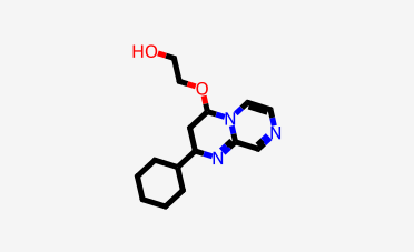 OCCOC1CC(C2CCCCC2)N=C2C=NC=CN21